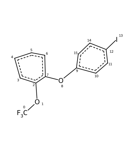 FC(F)(F)Oc1ccccc1Oc1ccc(I)cc1